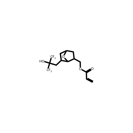 C=CC(=O)OCC1CC2CC(CC(O)(C(F)(F)F)C(F)(F)F)C1O2